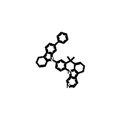 CC1(C)C2=CCCc3c2n(c2cnccc32)-c2ccc(-n3c4c(c5ccc(-c6ccccc6)cc53)CCC=C4)cc21